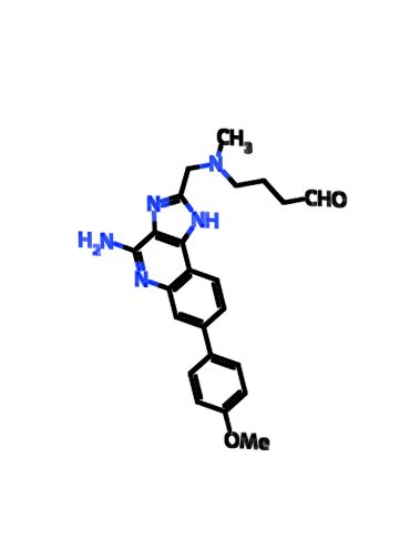 COc1ccc(-c2ccc3c(c2)nc(N)c2nc(CN(C)CCCC=O)[nH]c23)cc1